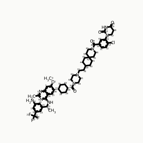 COc1cc2nc(C)nc(N[C@H](C)c3cc(N)cc(C(F)(F)F)c3)c2cc1[C@H]1CC[C@@H](C(=O)N2CCN(CCC3CCC4(CC3)CCN(C(=O)c3ccc(Cl)c(N5CCC(=O)NC5=O)c3)CC4)CC2)CC1